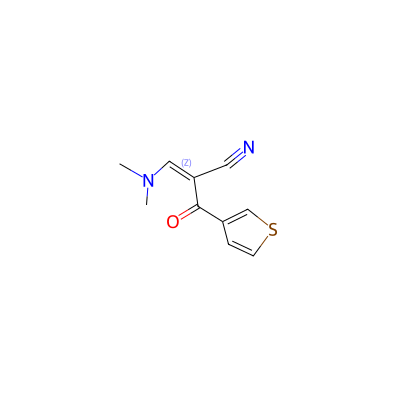 CN(C)/C=C(/C#N)C(=O)c1ccsc1